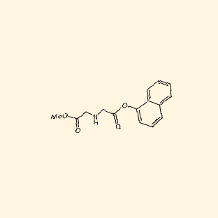 COC(=O)CNCC(=O)Oc1cccc2ccccc12